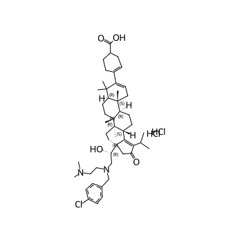 CC(C)C1=C2[C@H]3CC[C@@H]4[C@@]5(C)CC=C(C6=CCC(C(=O)O)CC6)C(C)(C)[C@@H]5CC[C@@]4(C)[C@]3(C)CC[C@@]2([C@@H](O)CN(CCN(C)C)Cc2ccc(Cl)cc2)CC1=O.Cl.Cl